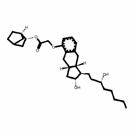 CCCCC[C@@H](O)CC[C@@H]1[C@H]2Cc3cccc(OCC(=O)O[C@@H]4CC5CC[C@@H]4C5)c3C[C@H]2C[C@H]1O